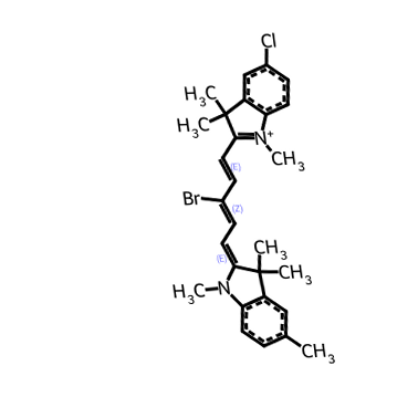 Cc1ccc2c(c1)C(C)(C)\C(=C/C=C(Br)/C=C/C1=[N+](C)c3ccc(Cl)cc3C1(C)C)N2C